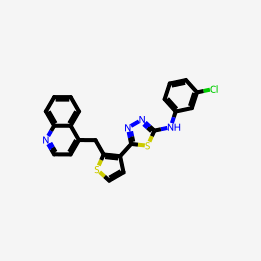 Clc1cccc(Nc2nnc(-c3ccsc3Cc3ccnc4ccccc34)s2)c1